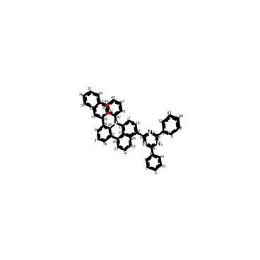 c1ccc(-c2nc(-c3ccccc3)nc(-c3ccc4c5c(cccc35)-c3cccc(-c5ccc6ccccc6c5)c3N4c3ccccc3)n2)cc1